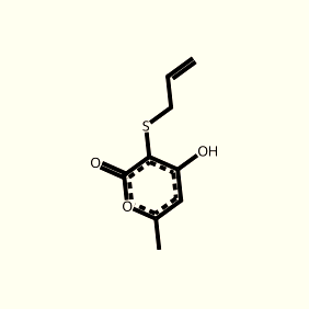 C=CCSc1c(O)cc(C)oc1=O